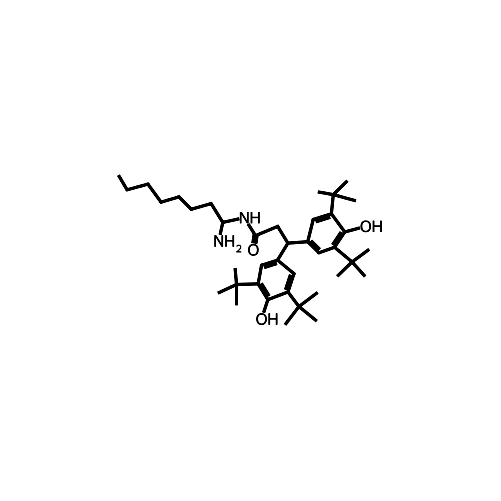 CCCCCCCC(N)NC(=O)CC(c1cc(C(C)(C)C)c(O)c(C(C)(C)C)c1)c1cc(C(C)(C)C)c(O)c(C(C)(C)C)c1